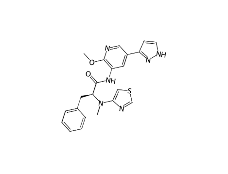 COc1ncc(-c2cc[nH]n2)cc1NC(=O)[C@H](Cc1ccccc1)N(C)c1cscn1